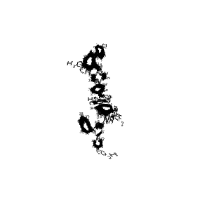 CC1(C)CCC(c2ccc(Cl)cc2)=C(CN2CCN(c3ccc(C(=O)NS(=O)(=O)c4ccc(N[C@H](CCN5CCC(C(=O)O)CC5)CSc5ccccc5)c(S(=O)(=O)C(F)(F)F)c4)cc3)CC2)C1